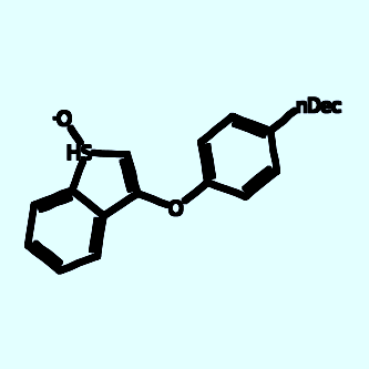 CCCCCCCCCCc1ccc(OC2=C[SH]([O])c3ccccc32)cc1